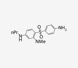 CCCNc1ccc(S(=O)(=O)c2ccc(N)cc2)c(NC)c1